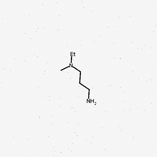 CCN(C)CCCN